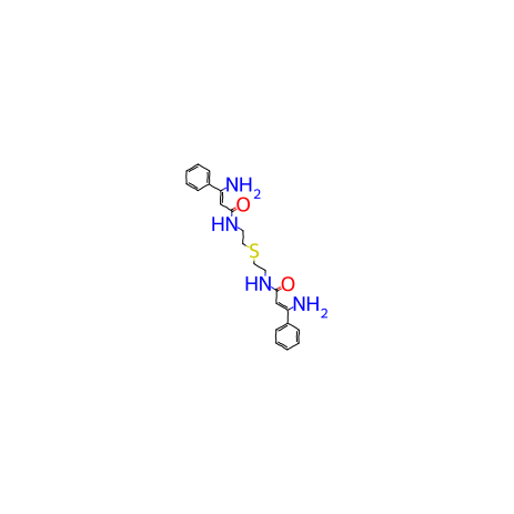 NC(=CC(=O)NCCSCCNC(=O)C=C(N)c1ccccc1)c1ccccc1